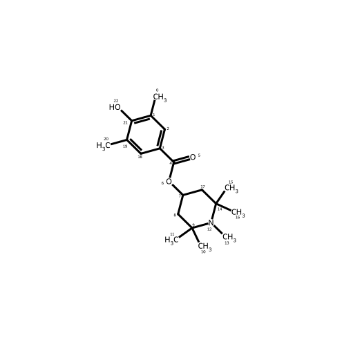 Cc1cc(C(=O)OC2CC(C)(C)N(C)C(C)(C)C2)cc(C)c1O